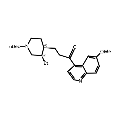 CCCCCCCCCCN1CC[C@@H](CCC(=O)c2ccnc3ccc(OC)cc23)[C@@H](CC)C1